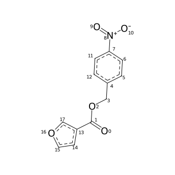 O=C(OCc1ccc([N+](=O)[O-])cc1)c1ccoc1